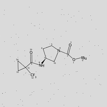 CC(C)(C)OC(=O)N1CC[C@H](NC(=O)C2(C(F)(F)F)CC2)C1